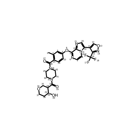 Cc1cc(Oc2nccn3c(-c4conc4C(F)(F)F)cnc23)ccc1C(=O)N1CCN(C(=O)C2COCC[C@@H]2O)CC1